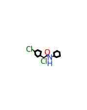 O=C(Nc1ccccc1)C(Cl)c1ccc(Cl)cc1